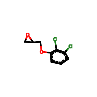 Clc1cccc(OCC2CO2)c1Cl